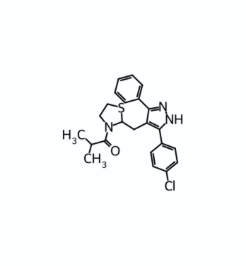 CC(C)C(=O)N1CCSC1Cc1c(-c2ccccc2)n[nH]c1-c1ccc(Cl)cc1